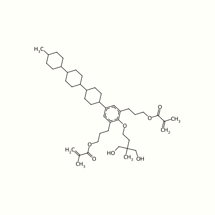 C=C(C)C(=O)OCCCc1cc(C2CCC(C3CCC(C4CCC(C)CC4)CC3)CC2)cc(CCCOC(=O)C(=C)C)c1OCCC(C)(CO)CO